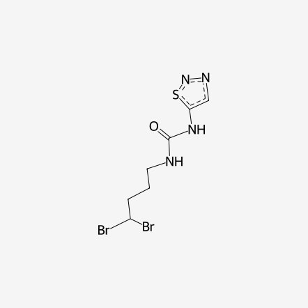 O=C(NCCCC(Br)Br)Nc1cnns1